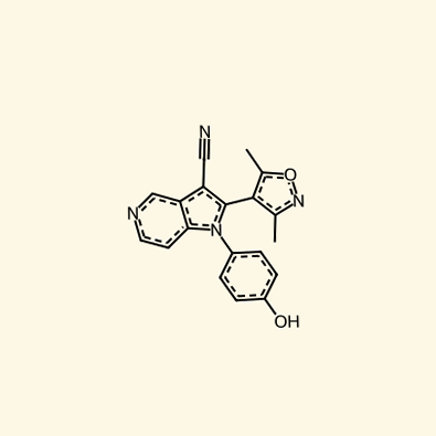 Cc1noc(C)c1-c1c(C#N)c2cnccc2n1-c1ccc(O)cc1